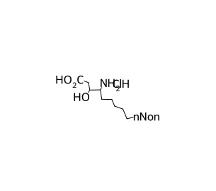 CCCCCCCCCCCCCCC(N)C(O)CC(=O)O.Cl